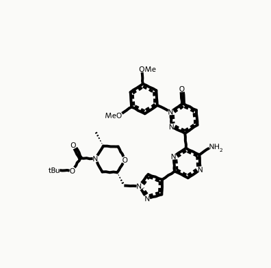 COc1cc(OC)cc(-n2nc(-c3nc(-c4cnn(C[C@@H]5CN(C(=O)OC(C)(C)C)[C@H](C)CO5)c4)cnc3N)ccc2=O)c1